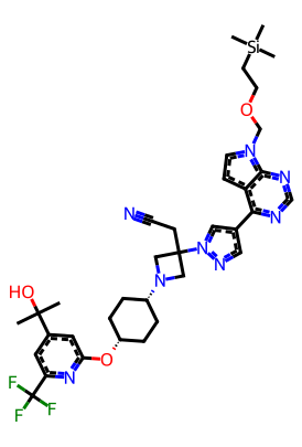 CC(C)(O)c1cc(O[C@H]2CC[C@@H](N3CC(CC#N)(n4cc(-c5ncnc6c5ccn6COCC[Si](C)(C)C)cn4)C3)CC2)nc(C(F)(F)F)c1